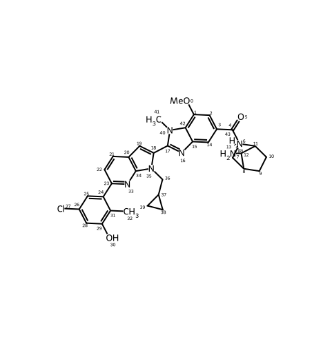 COc1cc(C(=O)N2CC3CCC2[C@@H]3N)cc2nc(-c3cc4ccc(-c5cc(Cl)cc(O)c5C)nc4n3CC3CC3)n(C)c12